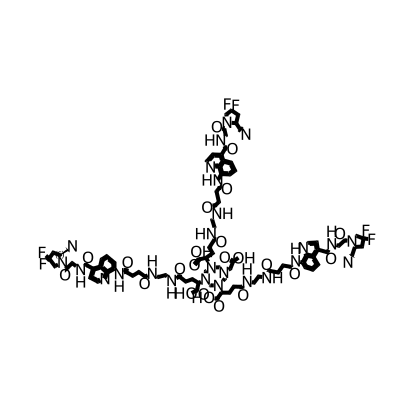 N#CC1CC(F)(F)CN1C(=O)CNC(=O)c1ccnc2c(NC(=O)CCC(=O)NCCNC(=O)CCC(C(=O)O)N3CN(CC(=O)O)CN(C(CCC(=O)NCCNC(=O)CCC(=O)Nc4cccc5c(C(=O)NCC(=O)N6CC(F)(F)CC6C#N)ccnc45)C(=O)O)CN(C(CCC(=O)NCCNC(=O)CCC(=O)Nc4cccc5c(C(=O)NCC(=O)N6CC(F)(F)C[C@H]6C#N)ccnc45)C(=O)O)C3)cccc12